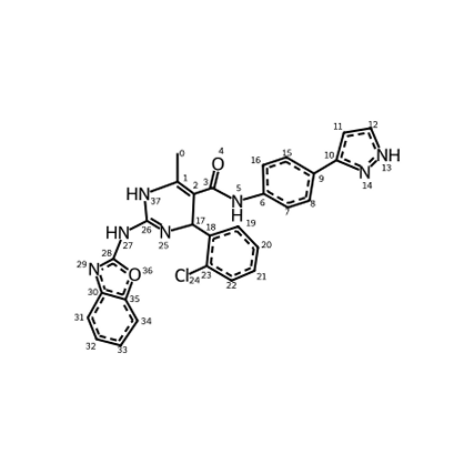 CC1=C(C(=O)Nc2ccc(-c3cc[nH]n3)cc2)C(c2ccccc2Cl)N=C(Nc2nc3ccccc3o2)N1